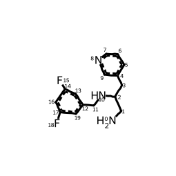 NCC(Cc1cccnc1)NCc1cc(F)cc(F)c1